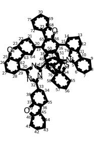 c1ccc(-n2c3ccccc3c3cccc(-c4ccc(-c5ccc6oc7cccc(-c8nc(-c9ccc%10c(c9)oc9ccccc9%10)nc(-c9cccc%10sc%11ccccc%11c9%10)n8)c7c6c5)c5c4oc4ccccc45)c32)cc1